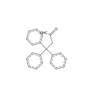 O=CC(=O)CC(c1ccccc1)(c1ccccc1)c1ccccc1